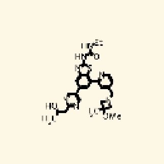 CCNC(=O)Nc1nc2cc(-c3cnc(CC(C)O)nc3)cc(-c3cc(CN4CC(C)(OC)C4)ccn3)c2s1